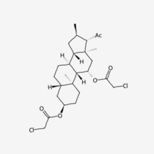 CC(=O)[C@H]1[C@H](C)C[C@H]2[C@@H]3CC[C@H]4C[C@H](OC(=O)CCl)CC[C@]4(C)[C@H]3[C@@H](OC(=O)CCl)C[C@@]21C